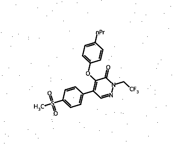 CCCc1ccc(Oc2c(-c3ccc(S(C)(=O)=O)cc3)cnn(CC(F)(F)F)c2=O)cc1